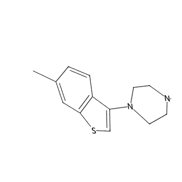 Cc1ccc2c(N3CC[N]CC3)csc2c1